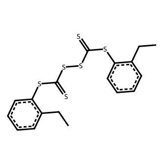 CCc1ccccc1SC(=S)SSC(=S)Sc1ccccc1CC